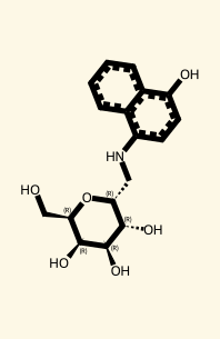 OC[C@H]1O[C@H](CNc2ccc(O)c3ccccc23)[C@H](O)[C@@H](O)[C@H]1O